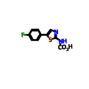 O=C(O)Nc1ncc(-c2ccc(F)cc2)s1